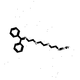 [N-]=[N+]=NCCOCCOCCN=C(c1ccccc1)c1ccccc1